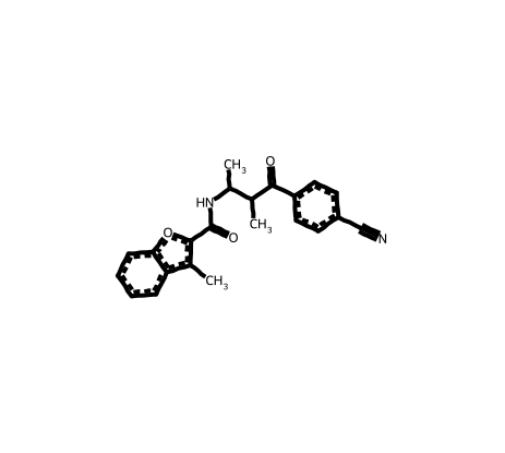 Cc1c(C(=O)NC(C)C(C)C(=O)c2ccc(C#N)cc2)oc2ccccc12